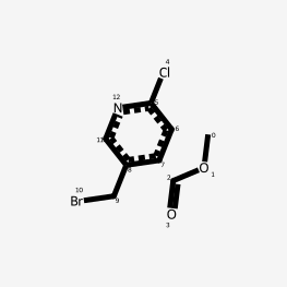 COC=O.Clc1ccc(CBr)cn1